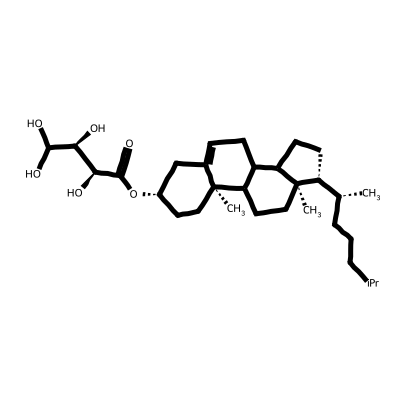 CC(C)CCC[C@@H](C)[C@H]1CCC2C3CC=C4C[C@@H](OC(=O)[C@@H](O)[C@H](O)C(O)O)CC[C@]4(C)C3CC[C@@]21C